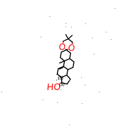 CC1(C)COC2(CCC3(C)C4=CC[C@@]5(C)C(CC[C@@H]5O)C4CCC3C2)OC1